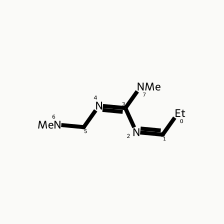 CC/C=N\C(=N/CNC)NC